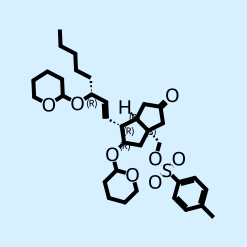 CCCCC[C@H](C=C[C@@H]1[C@H]2CC(=O)C[C@@]2(COS(=O)(=O)c2ccc(C)cc2)C[C@H]1OC1CCCCO1)OC1CCCCO1